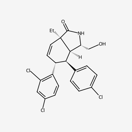 CC[C@@]12C=C[C@@H](c3ccc(Cl)cc3Cl)[C@H](c3ccc(Cl)cc3)[C@@H]1[C@@H](CO)NC2=O